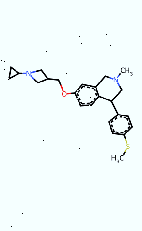 CSc1ccc(C2CN(C)Cc3cc(OCC4CN(C5CC5)C4)ccc32)cc1